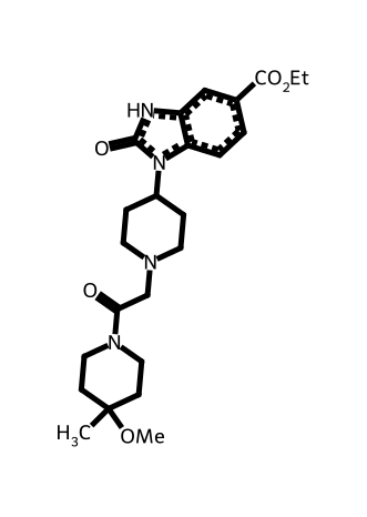 CCOC(=O)c1ccc2c(c1)[nH]c(=O)n2C1CCN(CC(=O)N2CCC(C)(OC)CC2)CC1